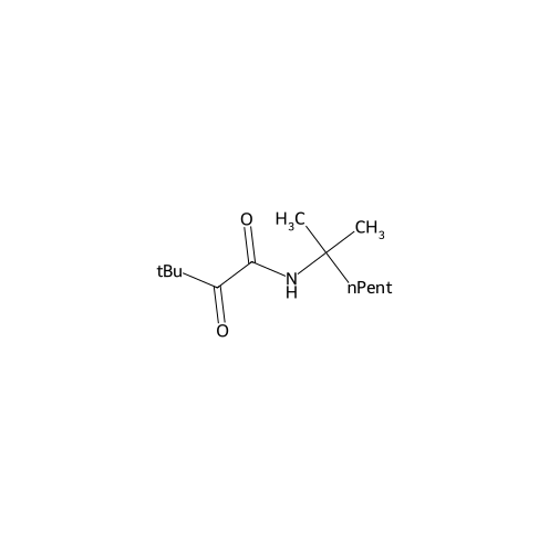 CCCCCC(C)(C)NC(=O)C(=O)C(C)(C)C